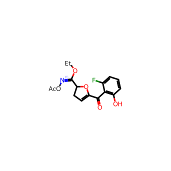 CCO/C(=N/OC(C)=O)C1CC=C(C(=O)c2c(O)cccc2F)O1